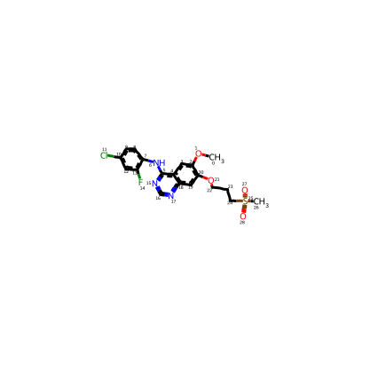 COc1cc2c(Nc3ccc(Cl)cc3F)ncnc2cc1OCCCS(C)(=O)=O